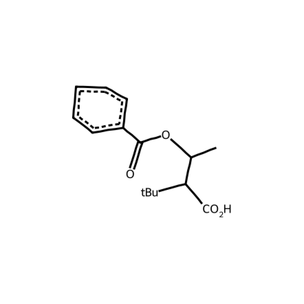 CC(OC(=O)c1ccccc1)C(C(=O)O)C(C)(C)C